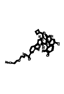 COCCOCCNC(=O)c1ccc2c3n(nc2c1)[C@@H]1[C@H](C3)N(CC2CCC2)[C@@]2(C(=O)Nc3cc(Cl)ccc32)[C@H]1c1cccc(Cl)c1F